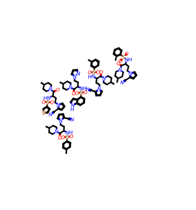 CC1CCN(C(=O)C(CCn2cccc2C#N)NS(=O)(=O)c2ccsc2)CC1.CC1CCN(C(=O)C(CCn2cccn2)NS(=O)(=O)c2cccc3[nH]ccc23)CC1.Cc1ccc(S(=O)(=O)NC(CCn2cccc2C#N)C(=O)N2CCC(C)CC2)cc1.Cc1cccc(S(=O)(=O)NC(CCn2cccc2C#N)C(=O)N2CCC(C)CC2)c1.Cc1ccccc1S(=O)(=O)NC(CCn1cccc1C#N)C(=O)N1CCC(C)CC1